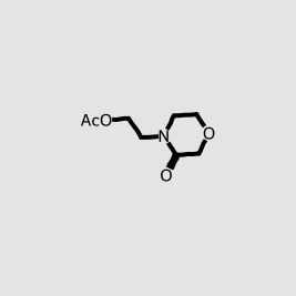 CC(=O)OCCN1CCOCC1=O